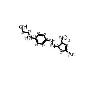 CC(=O)C1=CC([N+](=O)[O-])C(N=Nc2ccc(NCCO)cc2)S1